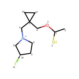 CC(S)OCC1(CN2CC[C@@H](F)C2)CC1